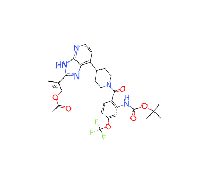 CC(=O)OC[C@@H](C)c1nc2c(C3CCN(C(=O)c4ccc(OC(F)(F)F)cc4NC(=O)OC(C)(C)C)CC3)ccnc2[nH]1